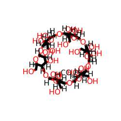 O=C(O)O[C@@H]1[C@@H](O)[C@H]2O[C@H]3[C@H](O)[C@@H](O)[C@@H](O[C@H]4[C@H](O)[C@@H](O)[C@@H](O[C@H]5[C@H](O)[C@@H](O)[C@@H](O[C@H]6[C@H](O)[C@@H](O)[C@@H](O[C@H]7[C@H](O)[C@@H](O)[C@@H](O[C@H]1[C@@H](CO)O2)O[C@@H]7CO)O[C@@H]6CO)O[C@@H]5CO)O[C@@H]4CO)O[C@@H]3CO